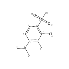 Cc1c(C(C)C)ccc(S(C)(=O)=O)c1Cl